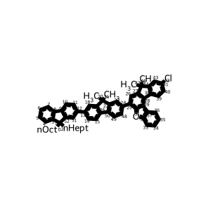 CCCCCCCCC1(CCCCCCC)c2ccccc2-c2ccc(-c3ccc4c(c3)C(C)(C)c3cc(-c5cc6c(c7c5oc5ccccc57)-c5ccc(Cl)cc5C6(C)C)ccc3-4)cc21